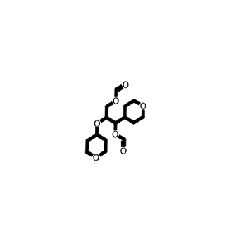 O=COCC(OC1CCOCC1)[C](OC=O)C1CCOCC1